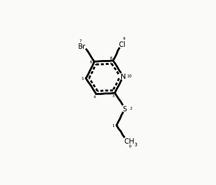 CCSc1ccc(Br)c(Cl)n1